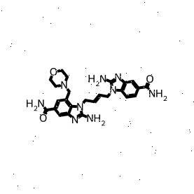 NC(=O)c1ccc2c(c1)nc(N)n2C/C=C/Cn1c(N)nc2cc(C(N)=O)cc(CN3CCOCC3)c21